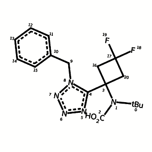 CC(C)(C)N(C(=O)O)C1(c2nnnn2Cc2ccccc2)CC(F)(F)C1